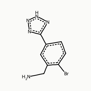 NCc1cc(-c2nn[nH]n2)ccc1Br